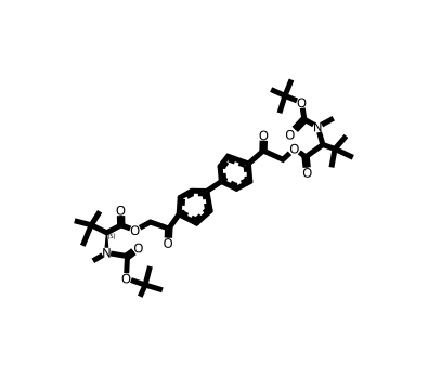 CN(C(=O)OC(C)(C)C)C(C(=O)OCC(=O)c1ccc(-c2ccc(C(=O)COC(=O)[C@@H](N(C)C(=O)OC(C)(C)C)C(C)(C)C)cc2)cc1)C(C)(C)C